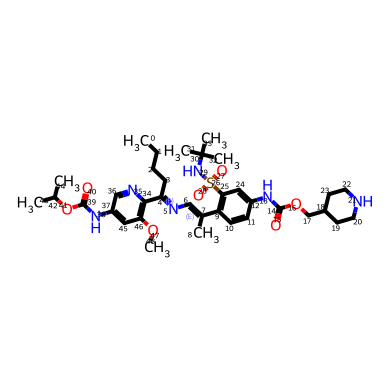 CCCC/C(=N\C=C(/C)c1ccc(NC(=O)OCC2CCNCC2)cc1S(=O)(=O)NC(C)(C)C)c1ncc(NC(=O)OC(C)C)cc1OC